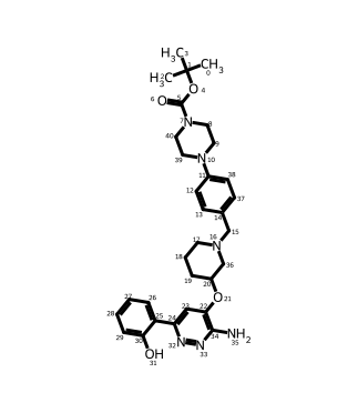 CC(C)(C)OC(=O)N1CCN(c2ccc(CN3CCCC(Oc4cc(-c5ccccc5O)nnc4N)C3)cc2)CC1